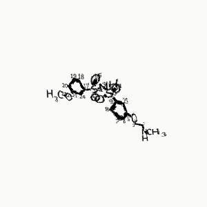 CNCCOc1cccc(S(=O)(=O)NS(=O)(=O)c2cccc(OC)c2)c1